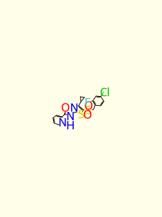 O=C(Nc1nc(C2CC2)c(S(=O)(=O)Cc2ccc(Cl)cc2F)s1)c1ccccn1